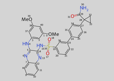 COc1cc(Nc2nc3ccccc3nc2NS(=O)(=O)c2cccc(-c3ccc(C4(C(N)=O)CC4)cc3)c2)cc(OC)c1